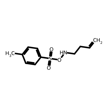 C=CCCNOS(=O)(=O)c1ccc(C)cc1